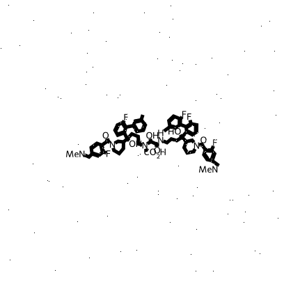 CNCc1ccc(C(=O)N2CCCC(C(O)(CCCN(C(=O)O)C(O)C(=O)NCCCC(O)(c3cccc(F)c3-c3cc(C)ccc3F)C3CCCN(C(=O)c4ccc(CNC)cc4F)C3)c3cccc(F)c3-c3cccc(C)c3)C2)c(F)c1